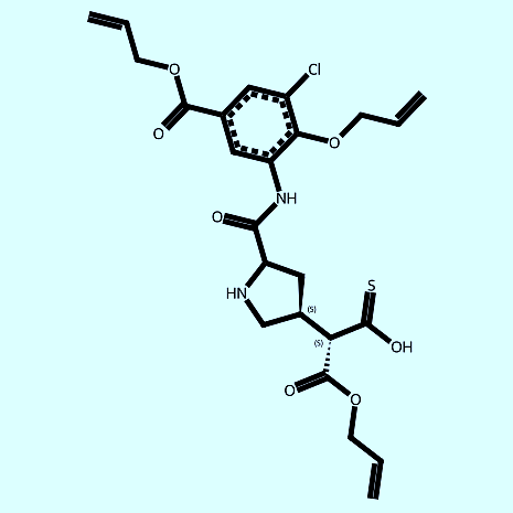 C=CCOC(=O)c1cc(Cl)c(OCC=C)c(NC(=O)C2C[C@@H]([C@@H](C(=O)OCC=C)C(O)=S)CN2)c1